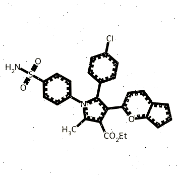 CCOC(=O)c1c(-c2ccc3cccc-3o2)c(-c2ccc(Cl)cc2)n(-c2ccc(S(N)(=O)=O)cc2)c1C